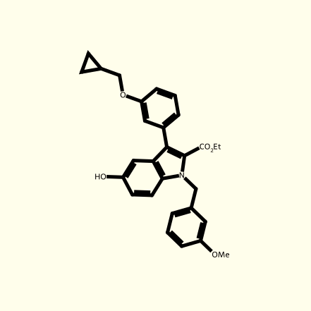 CCOC(=O)c1c(-c2cccc(OCC3CC3)c2)c2cc(O)ccc2n1Cc1cccc(OC)c1